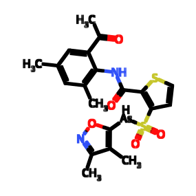 CC(=O)c1cc(C)cc(C)c1NC(=O)c1sccc1S(=O)(=O)[AsH]c1onc(C)c1C